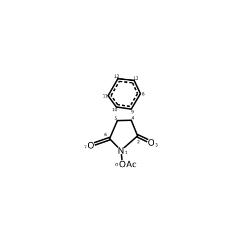 CC(=O)ON1C(=O)CCC1=O.c1ccccc1